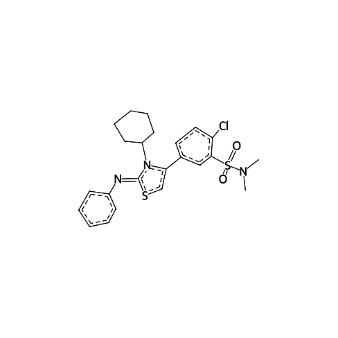 CN(C)S(=O)(=O)c1cc(-c2csc(=Nc3ccccc3)n2C2CCCCC2)ccc1Cl